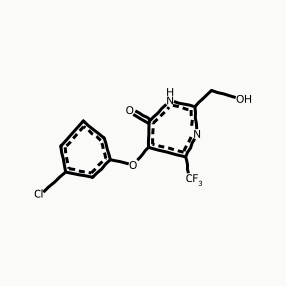 O=c1[nH]c(CO)nc(C(F)(F)F)c1Oc1cccc(Cl)c1